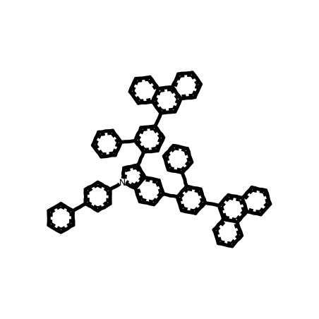 c1ccc(-c2ccc(-n3cc(-c4ccc(-c5cc6ccccc6c6ccccc56)cc4-c4ccccc4)c4cc(-c5ccc(-c6cc7ccccc7c7ccccc67)cc5-c5ccccc5)ccc43)cc2)cc1